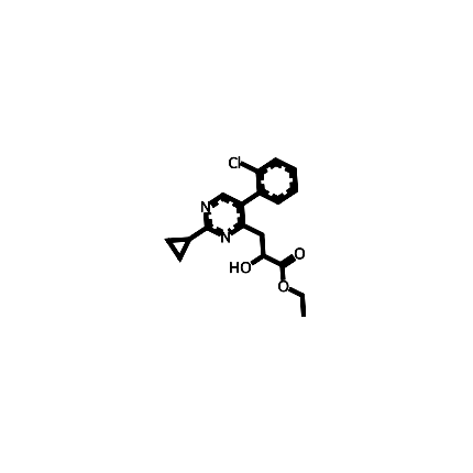 CCOC(=O)C(O)Cc1nc(C2CC2)ncc1-c1ccccc1Cl